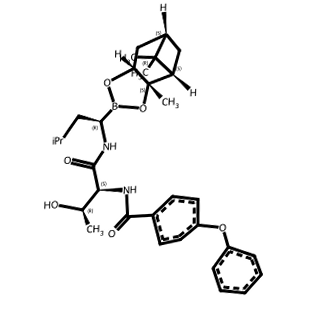 CC(C)C[C@H](NC(=O)[C@@H](NC(=O)c1ccc(Oc2ccccc2)cc1)[C@@H](C)O)B1O[C@@H]2C[C@@H]3C[C@@H](C3(C)C)[C@]2(C)O1